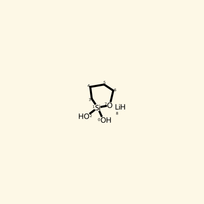 O[Si]1(O)CCCCO1.[LiH]